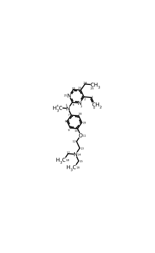 C=Cc1nc(N(C)c2ccc(OCCN(CC)CC)cc2)ncc1CC